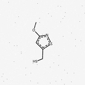 COc1cc(CS)sn1